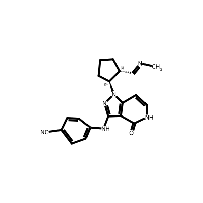 CN=C[C@H]1CCC[C@@H]1n1nc(Nc2ccc(C#N)cc2)c2c(=O)[nH]ccc21